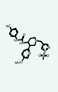 COc1ccc(C2CN(Cc3cnn(S(C)(=O)=O)c3)CCC2NC(=O)Nc2ccc(C#N)cc2)nc1